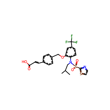 CC(C)CN(c1ccc(C(F)(F)F)cc1OCc1ccc(C=CC(=O)O)cc1)S(=O)(=O)c1nccs1